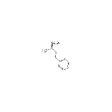 CCOC(=O)[C@H](C)CCc1ccccc1